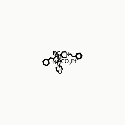 CCOC(=O)NC([N]C(CC1CCCCC1)C(=O)NC1(C#N)CCN(CCc2ccccc2)CC1)N1CCOCC1